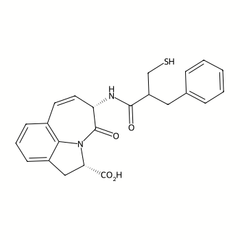 O=C(N[C@H]1C=Cc2cccc3c2N(C1=O)[C@H](C(=O)O)C3)C(CS)Cc1ccccc1